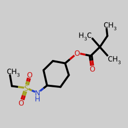 CCC(C)(C)C(=O)OC1CCC(NS(=O)(=O)CC)CC1